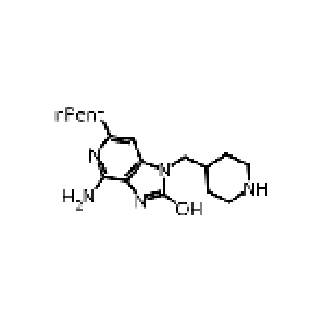 CCCCCc1cc2c(nc(O)n2CC2CCNCC2)c(N)n1